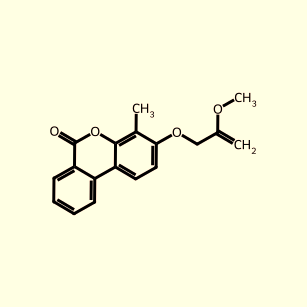 C=C(COc1ccc2c(oc(=O)c3ccccc32)c1C)OC